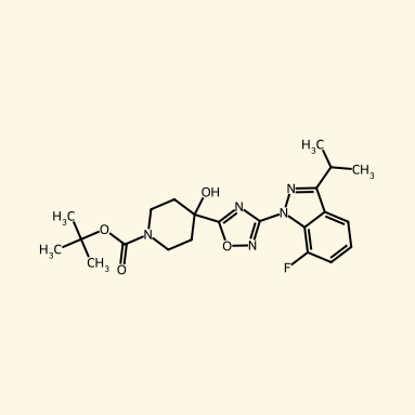 CC(C)c1nn(-c2noc(C3(O)CCN(C(=O)OC(C)(C)C)CC3)n2)c2c(F)cccc12